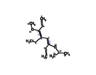 C=C/C(=C\C(CC)=C(/C=C)OC)OC(C)C